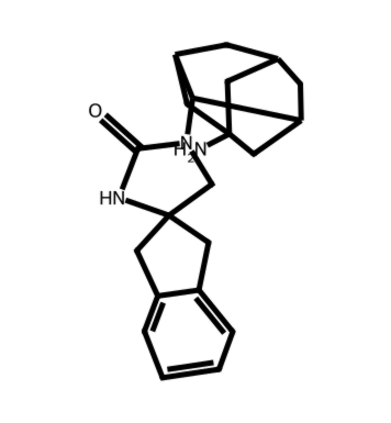 NC12CC3CC(C1)C(N1CC4(Cc5ccccc5C4)NC1=O)C(C3)C2